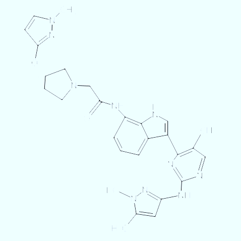 Cc1cnc(Nc2cc(C)n(C)n2)nc1-c1c[nH]c2c(NC(=O)CN3CC[C@H](Oc4ccn(C)n4)C3)cccc12